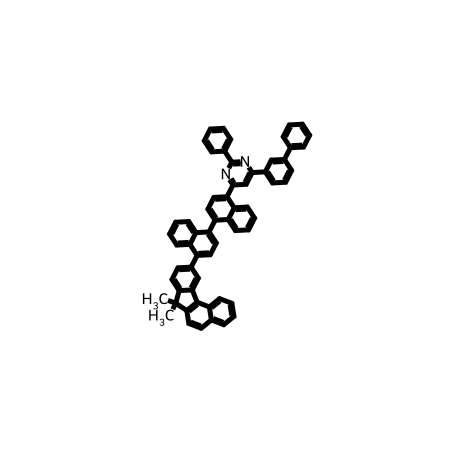 CC1(C)c2ccc(-c3ccc(-c4ccc(-c5cc(-c6cccc(-c7ccccc7)c6)nc(-c6ccccc6)n5)c5ccccc45)c4ccccc34)cc2-c2c1ccc1ccccc21